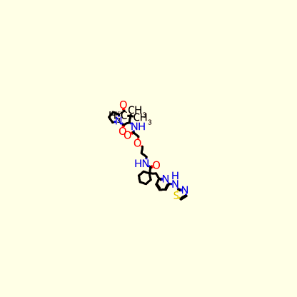 CC(C)(C)C(NC(=O)COCCCNC(=O)C1(Cc2cccc(Nc3nccs3)n2)CCCCC1)C(=O)N1CCC[C@H]1C=O